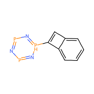 C1=C([PH]2=NP=NP=N2)c2ccccc21